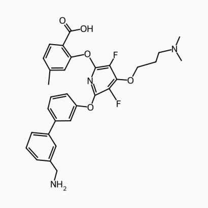 Cc1ccc(C(=O)O)c(Oc2nc(Oc3cccc(-c4cccc(CN)c4)c3)c(F)c(OCCCN(C)C)c2F)c1